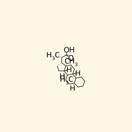 C[C@H](C(=O)O)[C@H]1CC[C@H]2[C@@H]3CC[C@@H]4CCCC[C@]4(C)[C@H]3CC[C@]12C